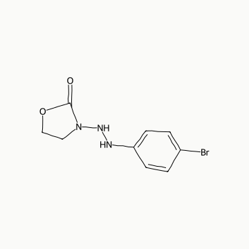 O=C1OCCN1NNc1ccc(Br)cc1